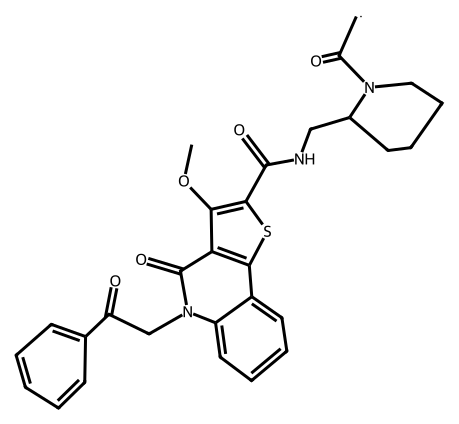 [CH2]C(=O)N1CCCCC1CNC(=O)c1sc2c(c1OC)c(=O)n(CC(=O)c1ccccc1)c1ccccc21